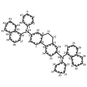 c1ccc(N(c2ccc3c(c2)CCc2cc(N(c4ccccc4)c4cccc5ccccc45)ccc2-3)c2cccc3ccccc23)cc1